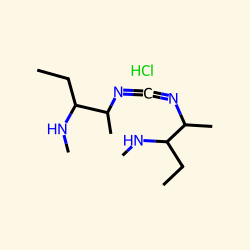 CCC(NC)C(C)N=C=NC(C)C(CC)NC.Cl